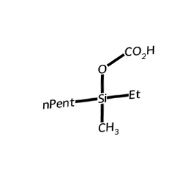 CCCCC[Si](C)(CC)OC(=O)O